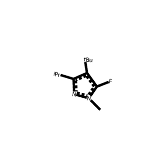 CC(C)c1nn(C)c(F)c1C(C)(C)C